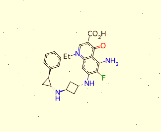 CCn1cc(C(=O)O)c(=O)c2c(N)c(F)c(N[C@H]3C[C@H](N[C@@H]4C[C@H]4c4ccccc4)C3)cc21